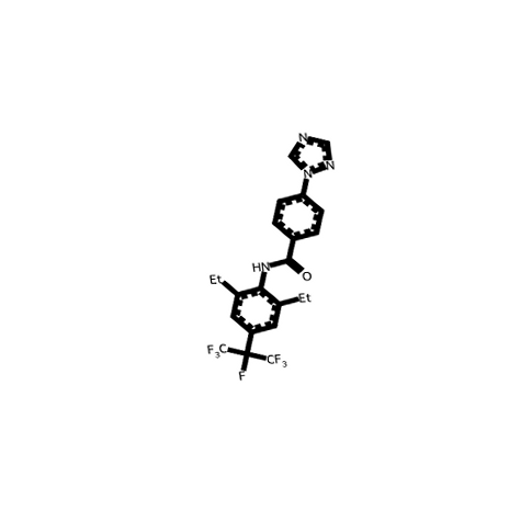 CCc1cc(C(F)(C(F)(F)F)C(F)(F)F)cc(CC)c1NC(=O)c1ccc(-n2cncn2)cc1